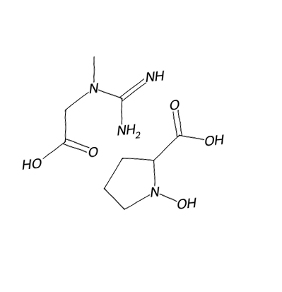 CN(CC(=O)O)C(=N)N.O=C(O)C1CCCN1O